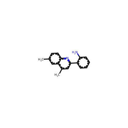 Cc1ccc2nc(-c3ccccc3N)cc(C)c2c1